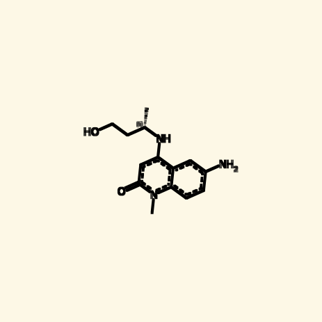 C[C@@H](CCO)Nc1cc(=O)n(C)c2ccc(N)cc12